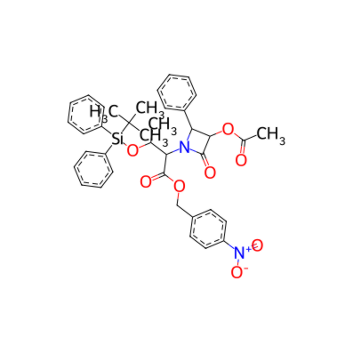 CC(=O)OC1C(=O)N(C(C(=O)OCc2ccc([N+](=O)[O-])cc2)C(C)O[Si](c2ccccc2)(c2ccccc2)C(C)(C)C)C1c1ccccc1